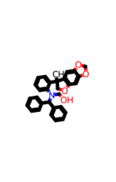 CC1(c2ccccc2N(CO)C(c2ccccc2)c2ccccc2)COc2cc3c(cc21)OCO3